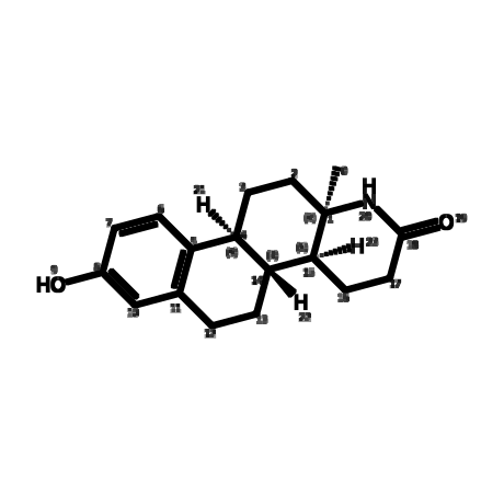 C[C@@]12CC[C@@H]3c4ccc(O)cc4CC[C@H]3[C@@H]1CCC(=O)N2